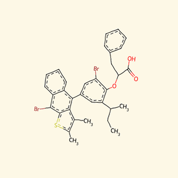 CCC(C)c1cc(-c2c3ccccc3c(Br)c3sc(C)c(C)c23)cc(Br)c1OC(Cc1ccccc1)C(=O)O